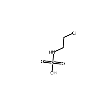 O=S(=O)(O)NCCCl